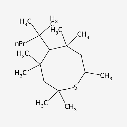 CCCC(C)(C)C1C(C)(C)CC(C)SC(C)(C)CC1(C)C